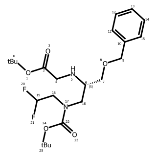 CC(C)(C)OC(=O)CN[C@H](COCc1ccccc1)CN(CC(F)F)C(=O)OC(C)(C)C